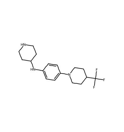 FC(F)(F)C1CCN(c2ccc(NC3CCNCC3)cc2)CC1